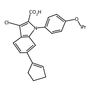 CC(C)Oc1ccc(-n2c(C(=O)O)c(Cl)c3ccc(C4=CCCC4)cc32)cc1